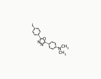 CN(C)c1ccc(-c2nnc(-c3ccc(I)cc3)o2)cc1